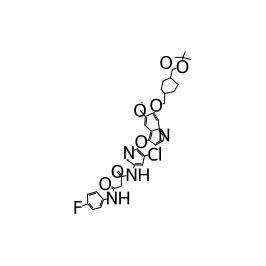 COc1cc2c(Oc3ncc(NC(=O)CC(=O)Nc4ccc(F)cc4)cc3Cl)ccnc2cc1OCC1CCC(C(=O)OC(C)(C)C)CC1